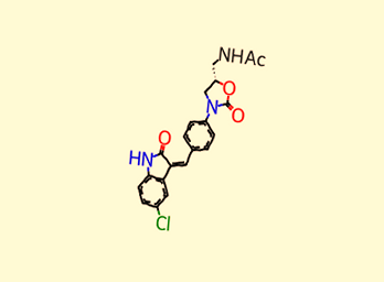 CC(=O)NC[C@H]1CN(c2ccc(/C=C3\C(=O)Nc4ccc(Cl)cc43)cc2)C(=O)O1